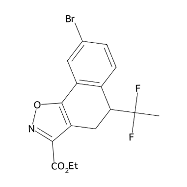 CCOC(=O)c1noc2c1CC(C(C)(F)F)c1ccc(Br)cc1-2